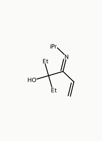 C=CC(=NC(C)C)C(O)(CC)CC